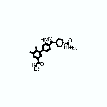 CCNC(=O)c1cc(C)c(C)c(-c2ccc3c(C4CCN(C(=O)NCC)CC4)n[nH]c3c2)c1